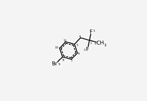 CC(F)(F)Cc1ccc(Br)cc1